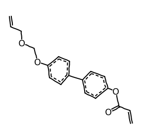 C=CCOCOc1ccc(-c2ccc(OC(=O)C=C)cc2)cc1